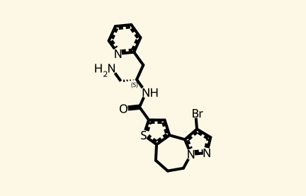 NC[C@H](Cc1ccccn1)NC(=O)c1cc2c(s1)CCCn1ncc(Br)c1-2